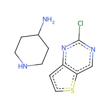 Clc1ncc2sccc2n1.NC1CCNCC1